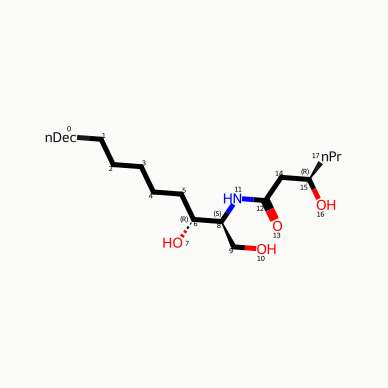 CCCCCCCCCCCCCCC[C@@H](O)[C@H](CO)NC(=O)C[C@H](O)CCC